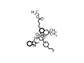 CCOC(=O)CCCc1cc2c(c(S(=O)(=O)N[C@@H](Cc3nc4ccccc4s3)C(=O)N3CCC(CCF)CC3)c1)NCC(C)(C)C2